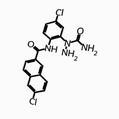 NC(=O)N(N)c1cc(Cl)ccc1NC(=O)c1ccc2cc(Cl)ccc2c1